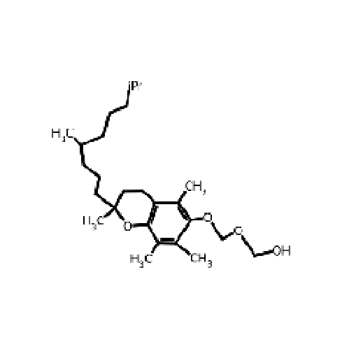 Cc1c(C)c2c(c(C)c1OCOCO)CCC(C)(CCCC(C)CCCC(C)C)O2